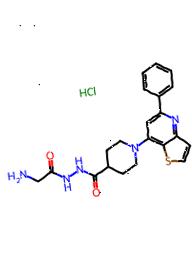 Cl.NCC(=O)NNC(=O)C1CCN(c2cc(-c3ccccc3)nc3ccsc23)CC1